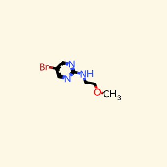 COCCNc1ncc(Br)cn1